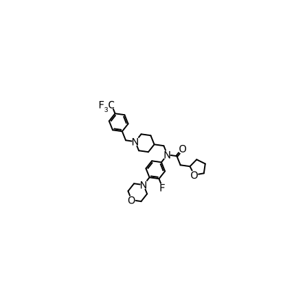 O=C(CC1CCCO1)N(CC1CCN(Cc2ccc(C(F)(F)F)cc2)CC1)c1ccc(N2CCOCC2)c(F)c1